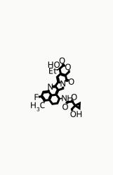 CC[C@@]1(O)C(=O)OCc2c1cc1n(c2=O)Cc2c-1nc1cc(F)c(C)c3c1c2[C@@H](NC(=O)C(=O)C1(CO)CC1)CC3